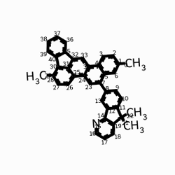 Cc1ccc2c(c1)c(-c1ccc3c(c1)-c1ncccc1C3(C)C)cc1c3ccc(C)c4c3c(cc21)-c1ccccc1-4